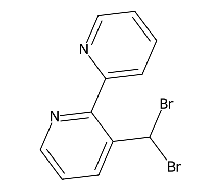 BrC(Br)c1cccnc1-c1ccccn1